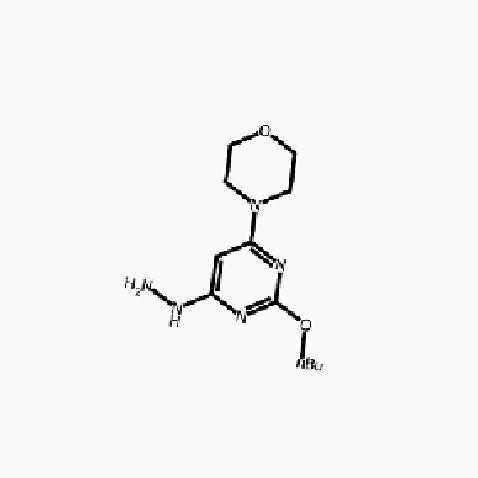 CCCCOc1nc(NN)cc(N2CCOCC2)n1